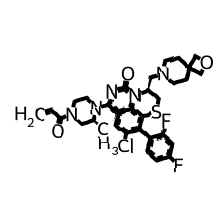 C=CC(=O)N1CCN(c2nc(=O)n3c4c(c(-c5ccc(F)cc5F)c(Cl)cc24)SC[C@@H]3CN2CCC3(CC2)COC3)[C@@H](C)C1